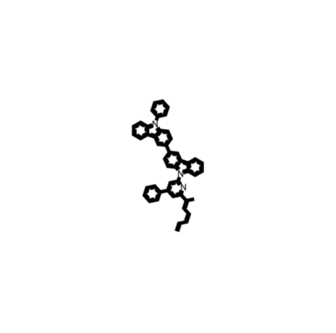 C=C/C=C\C=C(/C)c1cc(-c2ccccc2)cc(-n2c3ccccc3c3cc(-c4ccc5c(c4)c4ccccc4n5-c4ccccc4)ccc32)n1